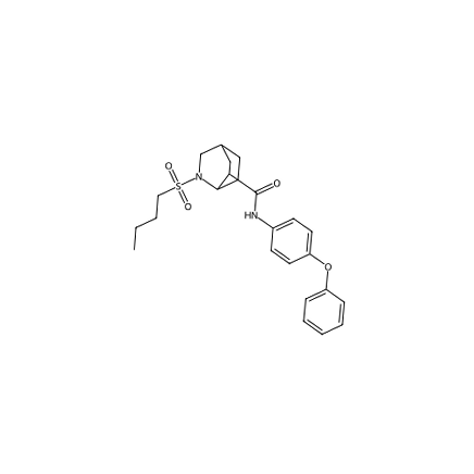 CCCCS(=O)(=O)N1CC2CCC1C(C(=O)Nc1ccc(Oc3ccccc3)cc1)C2